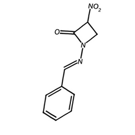 O=C1C([N+](=O)[O-])CN1N=Cc1ccccc1